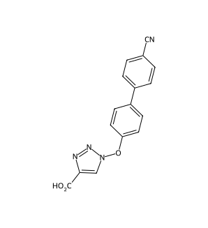 N#Cc1ccc(-c2ccc(On3cc(C(=O)O)nn3)cc2)cc1